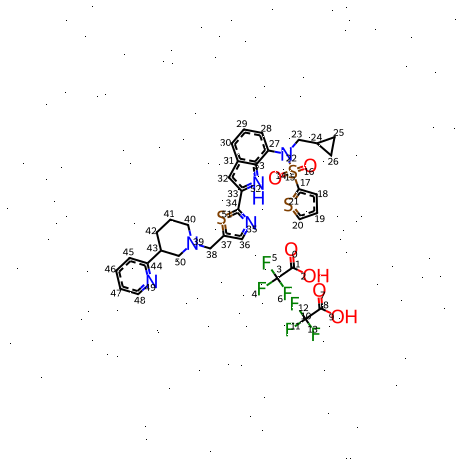 O=C(O)C(F)(F)F.O=C(O)C(F)(F)F.O=S(=O)(c1cccs1)N(CC1CC1)c1cccc2cc(-c3ncc(CN4CCCC(c5ccccn5)C4)s3)[nH]c12